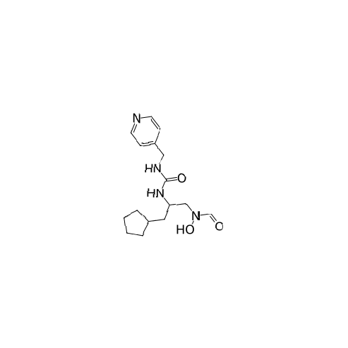 O=CN(O)CC(CC1CCCC1)NC(=O)NCc1ccncc1